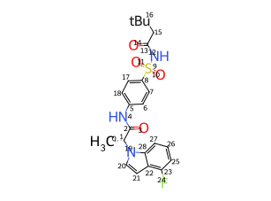 C[C@H](C(=O)Nc1ccc(S(=O)(=O)NC(=O)CC(C)(C)C)cc1)n1ccc2c(F)cccc21